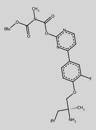 CC(C)C[C@](C)(N)COc1ccc(-c2ccnc(OC(=O)N(C)C(=O)OC(C)(C)C)n2)cc1F